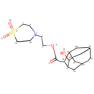 O=C(OCCN1CCS(=O)(=O)CC1)C1C2CC3CC(C2)C(O)C1C3